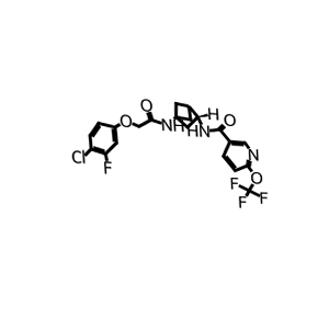 O=C(COc1ccc(Cl)c(F)c1)NC12CC(C1)[C@H](NC(=O)c1ccc(OC(F)(F)F)nc1)C2